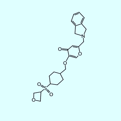 O=c1cc(CN2Cc3ccccc3C2)occ1OCC1CCC(S(=O)(=O)C2COC2)CC1